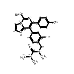 COc1nc(-c2ccc(C#N)cc2)c(-c2ccc(CN(C)C(=O)N(C)C)c(F)c2)c2nccn12